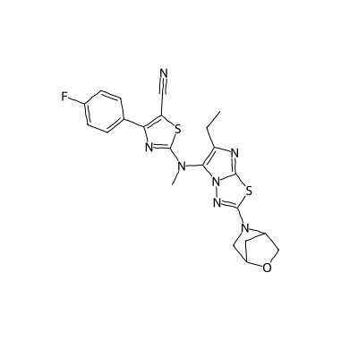 CCc1nc2sc(N3CC4CC3CO4)nn2c1N(C)c1nc(-c2ccc(F)cc2)c(C#N)s1